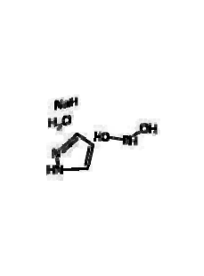 O.OBO.[NaH].c1cn[nH]c1